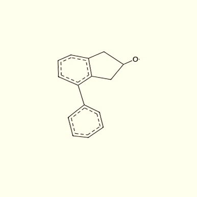 [O]C1Cc2cccc(-c3ccccc3)c2C1